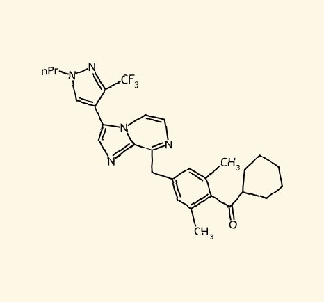 CCCn1cc(-c2cnc3c(Cc4cc(C)c(C(=O)C5CCCCC5)c(C)c4)nccn23)c(C(F)(F)F)n1